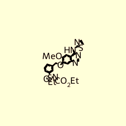 CCOC(=O)N=S(=O)(CC)c1cccc(COc2cc3ncnc(Nc4nccs4)c3cc2OC)c1